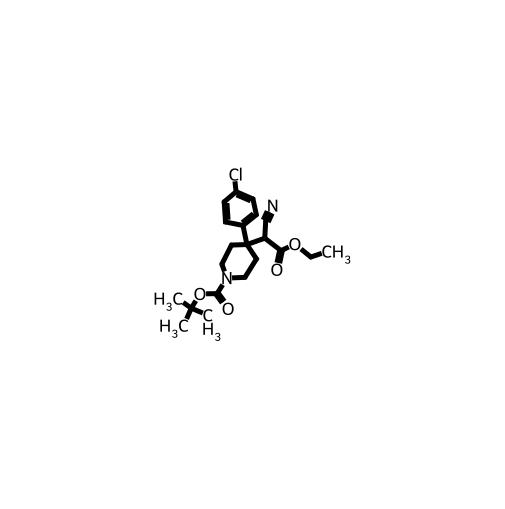 CCOC(=O)C(C#N)C1(c2ccc(Cl)cc2)CCN(C(=O)OC(C)(C)C)CC1